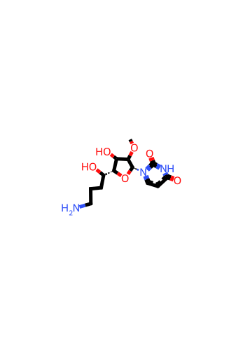 COC1C(O)[C@@H](C(O)CCCN)O[C@H]1n1ccc(=O)[nH]c1=O